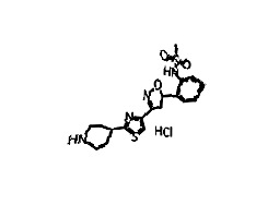 CS(=O)(=O)Nc1ccccc1C1CC(c2csc(C3CCNCC3)n2)=NO1.Cl